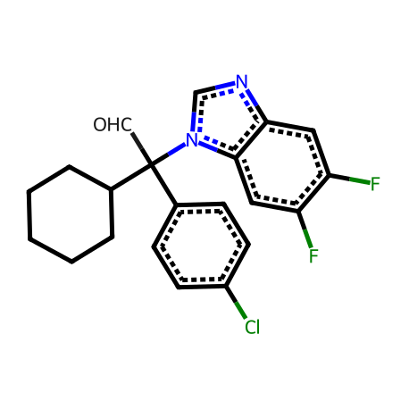 O=CC(c1ccc(Cl)cc1)(C1CCCCC1)n1cnc2cc(F)c(F)cc21